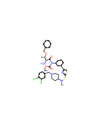 CC(=O)N(Sc1nc(-c2cccc(N(C(=O)OC(C)(C)C)C(=O)[C@@H](N)[C@@H](C)OCc3ccccc3)c2)cs1)C1CCN(Cc2ccc(Cl)c(Cl)c2)CC1